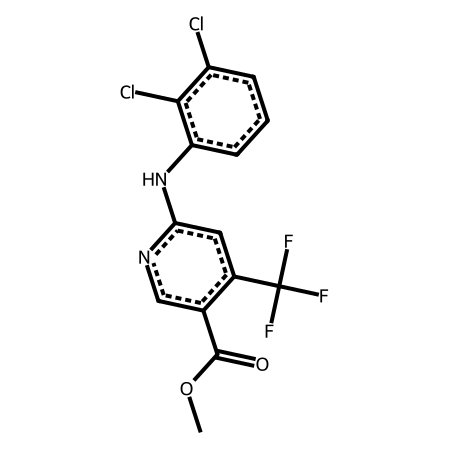 COC(=O)c1cnc(Nc2cccc(Cl)c2Cl)cc1C(F)(F)F